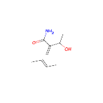 C=C(C(N)=O)C(C)O.CC=CC